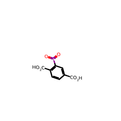 O=C(O)c1ccc(C(=O)O)c(I(=O)=O)c1